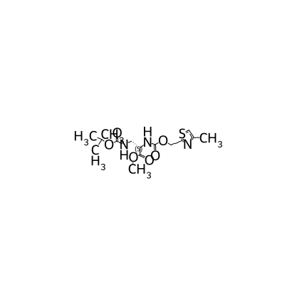 COC(=O)[C@H](CNC(=O)OC(C)(C)C)NC(=O)OCc1nc(C)cs1